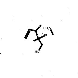 C=CC(C)C(C)(C)CO.CS(=O)(=O)O